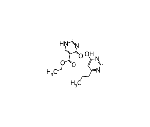 CCCc1cc(O)n[c]n1.CCOC(=O)c1c[nH][c]nc1=O